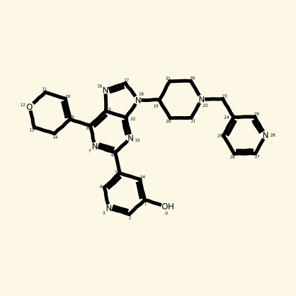 Oc1cncc(-c2nc(C3=CCOCC3)c3ncn(C4CCN(Cc5cccnc5)CC4)c3n2)c1